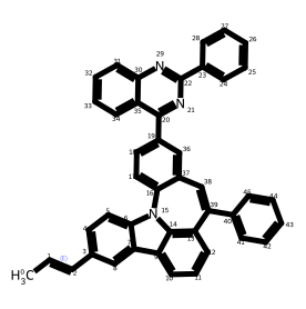 C/C=C/c1ccc2c(c1)c1cccc3c1n2-c1ccc(-c2nc(-c4ccccc4)nc4ccccc24)cc1C=C3c1ccccc1